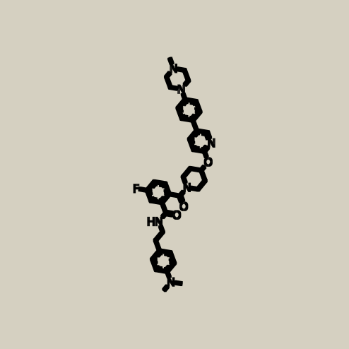 CN1CCN(c2ccc(-c3ccc(OC4CCN(C(=O)c5ccc(F)cc5C(=O)NCCc5ccc(N(C)C)cc5)CC4)nc3)cc2)CC1